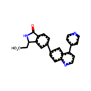 O=C(O)CC1NC(=O)c2ccc(-c3ccc4nccc(-c5ccncc5)c4c3)cc21